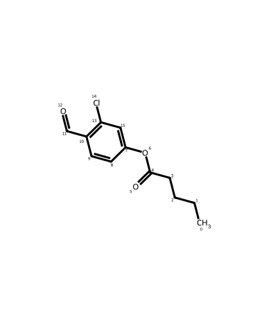 CCC[CH]C(=O)Oc1ccc(C=O)c(Cl)c1